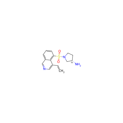 C=Cc1cncc2cccc(S(=O)(=O)N3CC[C@H](N)C3)c12